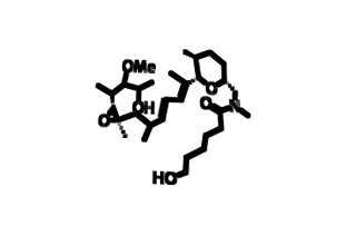 COC(C(C)O)C(C)[C@H]1O[C@]1(C)CC(C)/C=C/C=C(\C)[C@H]1O[C@@H](CN(C)C(=O)CCCCCO)CC[C@@H]1C